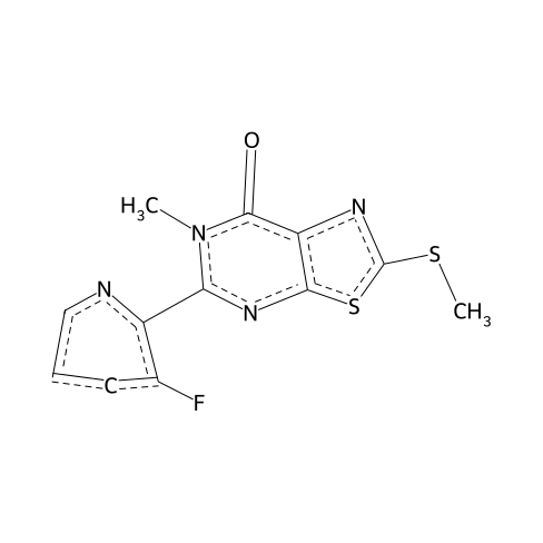 CSc1nc2c(=O)n(C)c(-c3ncccc3F)nc2s1